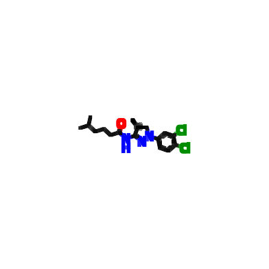 CC(C)CCCC(=O)NC1=NN(c2ccc(Cl)c(Cl)c2)C[C@@H]1C